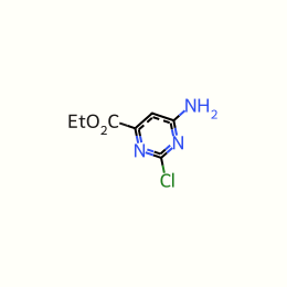 CCOC(=O)c1cc(N)nc(Cl)n1